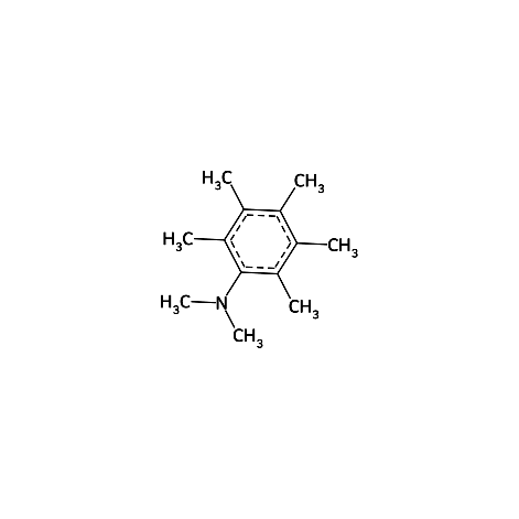 Cc1c(C)c(C)c(N(C)C)c(C)c1C